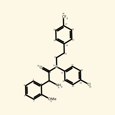 COc1ccccc1C(N)C(=O)N(CCc1ccc(C(F)(F)F)cc1)c1ccc(Cl)cc1